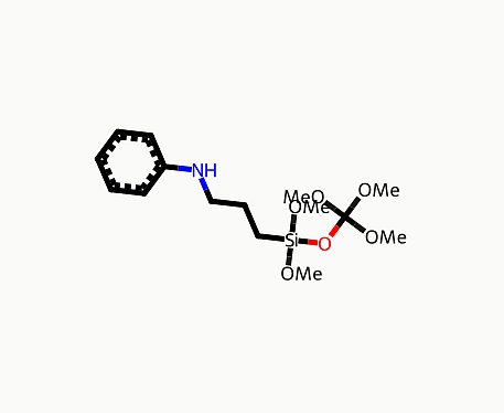 COC(OC)(OC)O[Si](CCCNc1ccccc1)(OC)OC